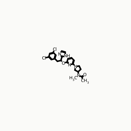 CC(=O)N(C)C1CCN(c2cccc(OC(Cc3cc(Cl)cc(Cl)c3)c3ncc[nH]3)n2)C1